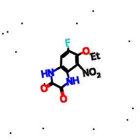 CCOc1c(F)cc2[nH]c(=O)c(=O)[nH]c2c1[N+](=O)[O-]